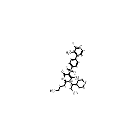 CCCCc1nc(=O)c(S(=O)(=O)c2ccc(-c3ccnc(F)c3C)cc2)c(O)n1C(CC)C1CCOCC1